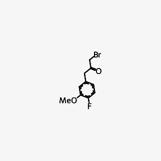 COc1cc(CC(=O)CBr)ccc1F